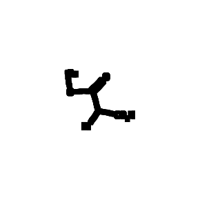 CCC(C(=O)O)C(=O)OC(C)(C)C